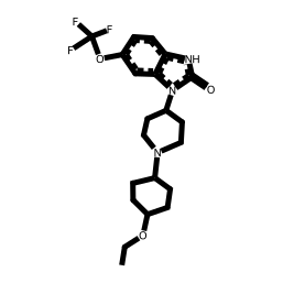 CCOC1CCC(N2CCC(n3c(=O)[nH]c4ccc(OC(F)(F)F)cc43)CC2)CC1